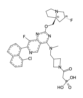 CN(CC1CN(C(=O)CP(=O)(O)O)C1)c1nc(OC[C@@]23CCCN2C[C@H](F)C3)nc2c(F)c(-c3cccc4cccc(Cl)c34)ncc12